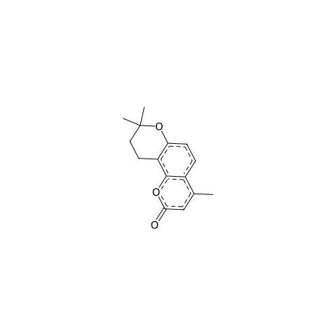 Cc1cc(=O)oc2c3c(ccc12)OC(C)(C)CC3